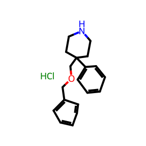 Cl.c1ccc(COCC2(c3ccccc3)CCNCC2)cc1